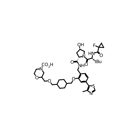 Cc1ncsc1-c1ccc(CNC(=O)[C@@H]2C[C@@H](O)CN2C(=O)[C@@H](NC(=O)C2(F)CC2)C(C)(C)C)c(OCC2CCC(COCC3CN(C(=O)O)CCO3)CC2)c1